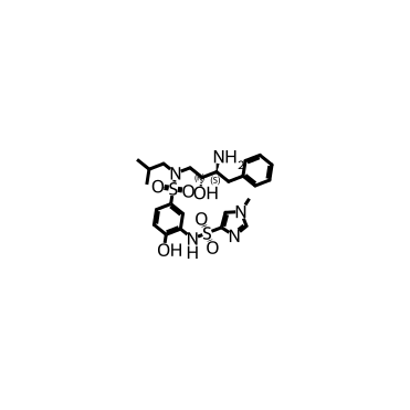 CC(C)CN(C[C@@H](O)[C@@H](N)Cc1ccccc1)S(=O)(=O)c1ccc(O)c(NS(=O)(=O)c2cn(C)cn2)c1